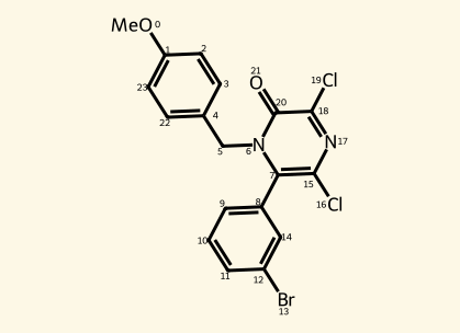 COc1ccc(Cn2c(-c3cccc(Br)c3)c(Cl)nc(Cl)c2=O)cc1